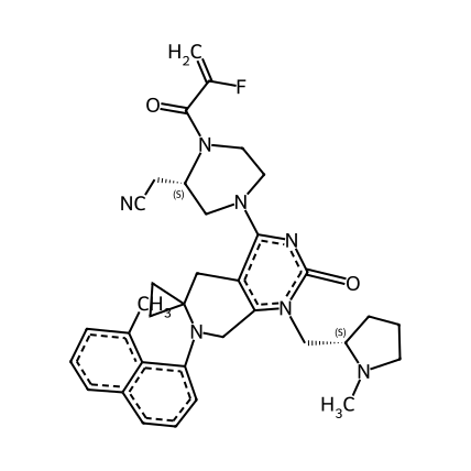 C=C(F)C(=O)N1CCN(c2nc(=O)n(C[C@@H]3CCCN3C)c3c2CC2(CC2)N(c2cccc4cccc(C)c24)C3)C[C@@H]1CC#N